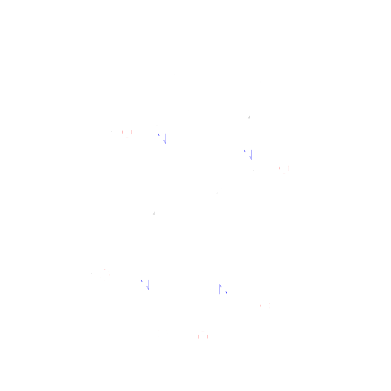 O=[N+]([O-])c1cc2c(cc1[N+](=O)[O-])[n+]([O-])c1ccccc1[n+]2[O-]